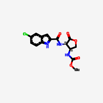 CC(C)(C)OC(=O)N[C@@H]1COC(=O)[C@H]1NC(=O)c1cc2cc(Cl)ccc2[nH]1